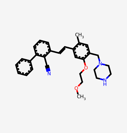 COCCOc1cc(/C=C/c2cccc(-c3ccccc3)c2C#N)c(C)cc1CN1CCNCC1